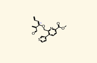 C=C/C=C(/OCc1nc(C(=O)OC)ccc1-c1ccsc1)C(=C)C=O